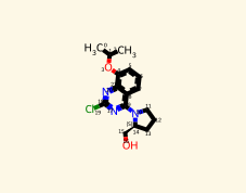 CC(C)Oc1cccc2c(N3CCC[C@H]3CO)nc(Cl)nc12